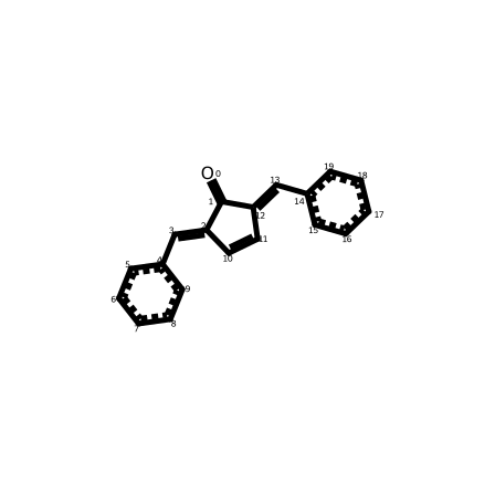 O=C1C(=Cc2ccccc2)C=CC1=Cc1ccccc1